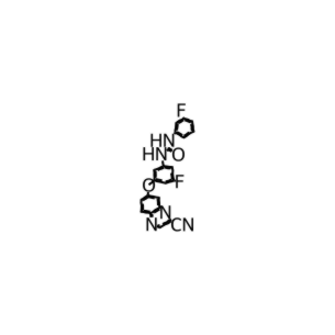 N#Cc1cnc2ccc(Oc3cc(F)cc(NC(=O)Nc4cccc(F)c4)c3)cc2n1